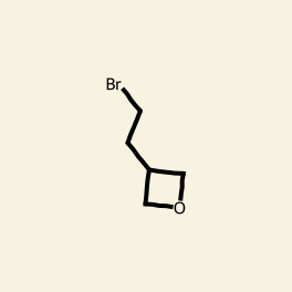 BrCCC1COC1